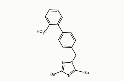 CCC(C)c1nc(C(C)CC)n(Cc2ccc(-c3ccccc3C(=O)O)cc2)n1